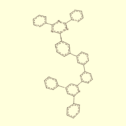 c1ccc(-c2cc(-c3ccccc3)nc(-c3cccc(-c4cccc(-c5cccc(-c6nc(-c7ccccc7)nc(-c7ccccc7)n6)c5)c4)c3)c2)cc1